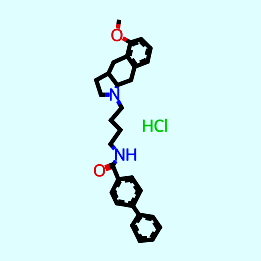 COc1cccc2c1CC1CCN(CCCCNC(=O)c3ccc(-c4ccccc4)cc3)C1C2.Cl